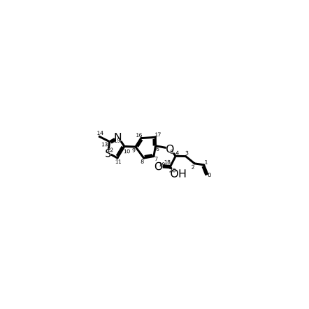 C=CCCC(Oc1ccc(-c2csc(C)n2)cc1)C(=O)O